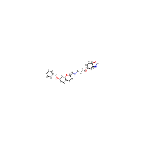 c1ccc(COc2ccc3c(c2)OC(CNCCCOc2ccc4ocnc4c2)CC3)cc1